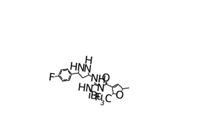 CCC(C)N/C(=N/C(=O)C1=CC(C)OC1C(F)(F)F)NC1CC(c2ccc(F)cc2)NN1